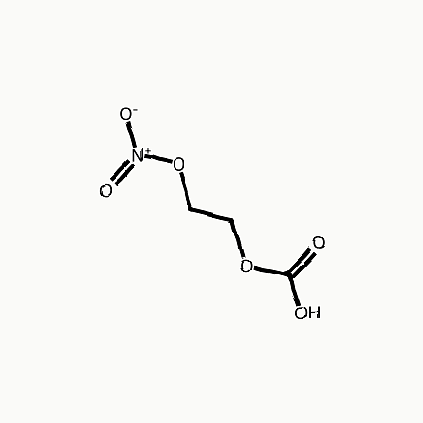 O=C(O)OCCO[N+](=O)[O-]